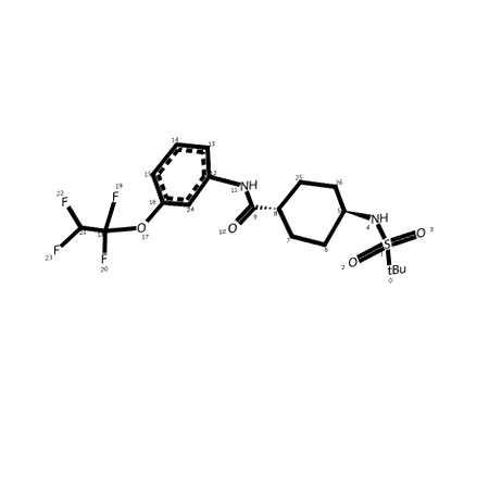 CC(C)(C)S(=O)(=O)N[C@H]1CC[C@H](C(=O)Nc2cccc(OC(F)(F)C(F)F)c2)CC1